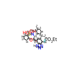 CCOC(=O)CC(c1ccc(C)c(CN2CC(C)Oc3ccccc3S2(O)O)c1)c1cc(C)c2c(nnn2C)c1F